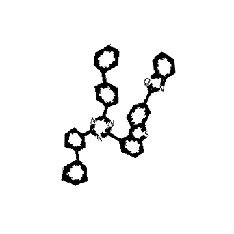 c1ccc(-c2ccc(-c3nc(-c4cccc(-c5ccccc5)c4)nc(-c4cccc5sc6cc(-c7nc8ccccc8o7)ccc6c45)n3)cc2)cc1